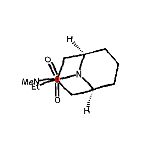 CCS(=O)(=O)N1[C@@H]2CCC[C@H]1CC(NC)C2